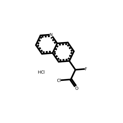 Cl.O=C(Cl)C(F)c1ccc2ncccc2c1